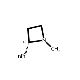 CCC[C@@H]1CCN1C